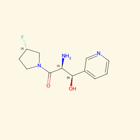 N[C@H](C(=O)N1CC[C@H](F)C1)[C@H](O)c1cccnc1